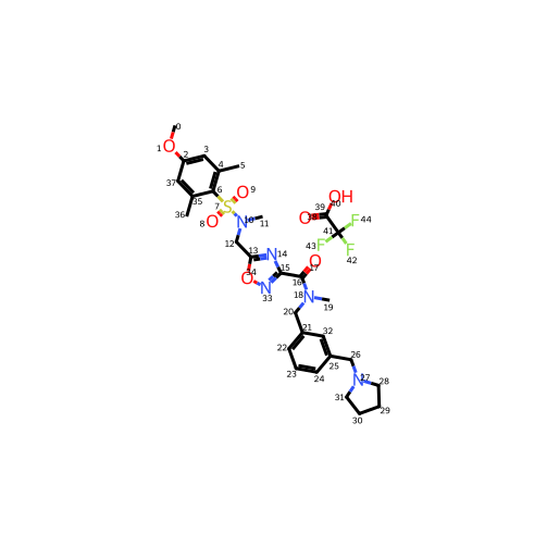 COc1cc(C)c(S(=O)(=O)N(C)Cc2nc(C(=O)N(C)Cc3cccc(CN4CCCC4)c3)no2)c(C)c1.O=C(O)C(F)(F)F